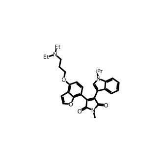 CCN(CC)CCCOc1ccc(C2=C(c3cn(C(C)C)c4ccccc34)C(=O)N(C)C2=O)c2occc12